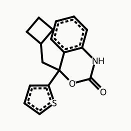 O=C1Nc2ccccc2C(CC2CCC2)(c2cccs2)O1